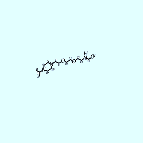 CC(C)N1CCN(CCOCCOCCNC=O)CC1